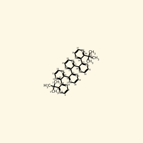 CC(C)(C)c1nccnc1-c1nccnc1-c1nccnc1-c1nccnc1-c1nccnc1-c1nccnc1C(C)(C)C